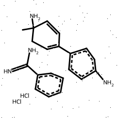 CC1(N)C=CC(c2ccc(N)cc2)=CC1.Cl.Cl.N=C(N)c1ccccc1